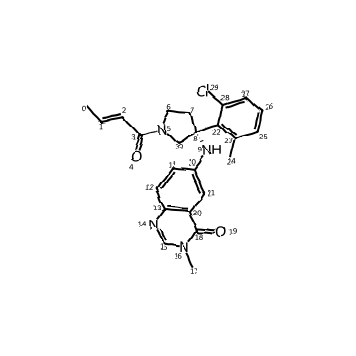 C/C=C/C(=O)N1CC[C@@](Nc2ccc3ncn(C)c(=O)c3c2)(c2c(C)cccc2Cl)C1